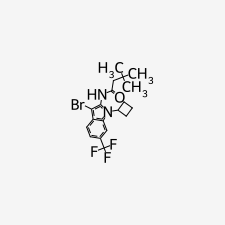 CC(C)(C)CC(=O)Nc1c(Br)c2ccc(C(F)(F)F)cc2n1C1CCC1